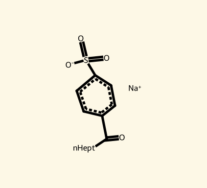 CCCCCCCC(=O)c1ccc(S(=O)(=O)[O-])cc1.[Na+]